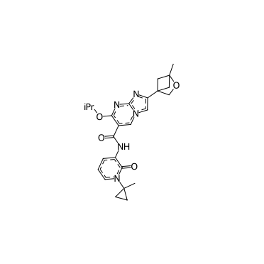 CC(C)Oc1nc2nc(C34COC(C)(C3)C4)cn2cc1C(=O)Nc1cccn(C2(C)CC2)c1=O